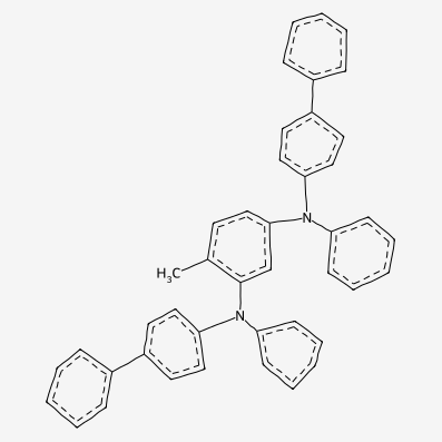 Cc1ccc(N(c2ccccc2)c2ccc(-c3ccccc3)cc2)cc1N(c1ccccc1)c1ccc(-c2ccccc2)cc1